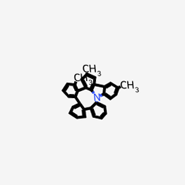 Cc1ccc2c(c1)c1cc(C)cc3c4c(C)cccc4c4ccccc4c4ccccc4n2c13